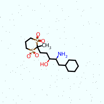 CC1(CC[C@H](O)[C@@H](N)CC2CCCCC2)S(=O)(=O)CCCS1(=O)=O